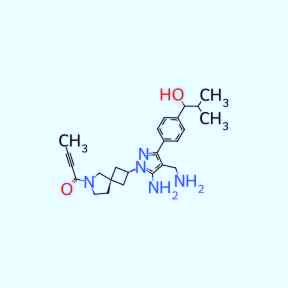 CC#CC(=O)N1CC[C@]2(C1)C[C@H](n1nc(-c3ccc(C(O)C(C)C)cc3)c(CN)c1N)C2